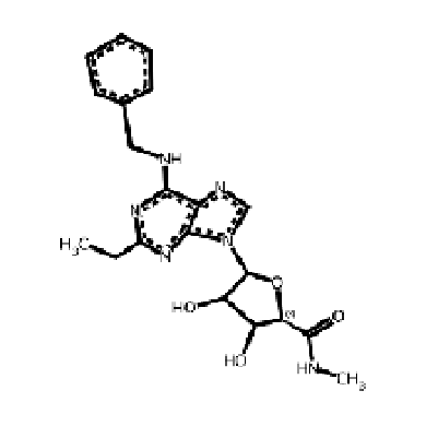 CCc1nc(NCc2ccccc2)c2ncn(C3O[C@@H](C(=O)NC)C(O)C3O)c2n1